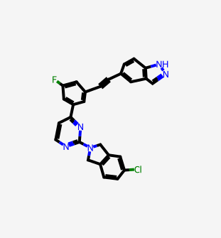 Fc1cc(C#Cc2ccc3[nH]ncc3c2)cc(-c2ccnc(N3Cc4ccc(Cl)cc4C3)n2)c1